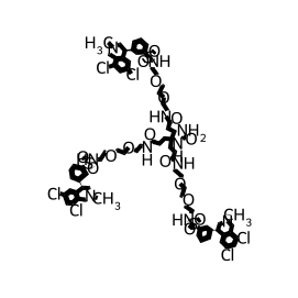 CN1Cc2c(Cl)cc(Cl)cc2[C@H](c2cccc(S(=O)(=O)NCCOCCOCCNC(=O)CCC(CCC(=O)NCCOCCOCCNS(=O)(=O)c3cccc([C@@H]4CN(C)Cc5c(Cl)cc(Cl)cc54)c3)(CCC(=O)NCCOCCOCCNS(=O)(=O)c3cccc([C@@H]4CN(C)Cc5c(Cl)cc(Cl)cc54)c3)NC(N)=O)c2)C1